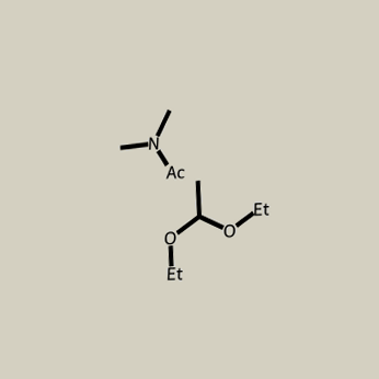 CC(=O)N(C)C.CCOC(C)OCC